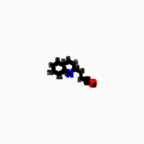 O=C=CCc1ccc2ccccc2n1